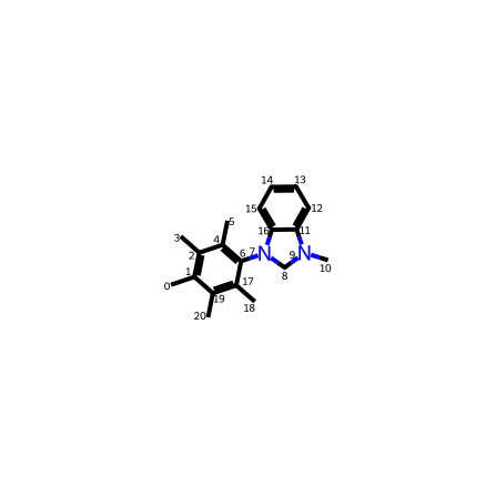 Cc1c(C)c(C)c(N2CN(C)c3ccccc32)c(C)c1C